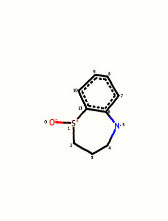 [O-][S+]1CCC[N]c2ccccc21